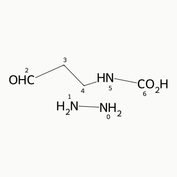 NN.O=CCCNC(=O)O